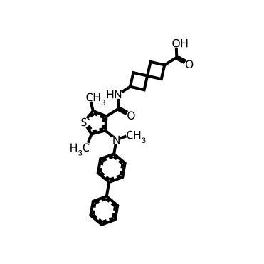 Cc1sc(C)c(N(C)c2ccc(-c3ccccc3)cc2)c1C(=O)NC1CC2(C1)CC(C(=O)O)C2